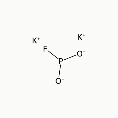 [K+].[K+].[O-]P([O-])F